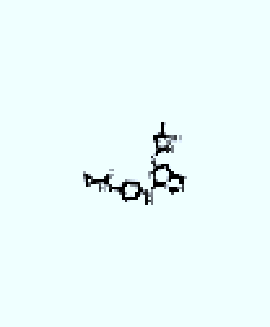 Cc1cc(Sc2cc3cncn3c(Nc3ccc(NC(=O)C4CC4)cc3)n2)n[nH]1